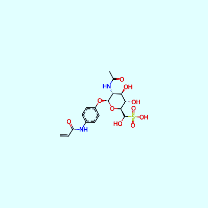 C=CC(=O)Nc1ccc(O[C@@H]2O[C@H](C(O)S(=O)(=O)O)[C@@H](O)[C@H](O)[C@H]2NC(C)=O)cc1